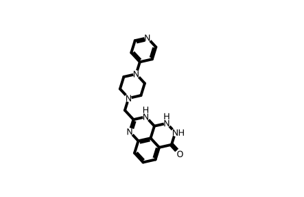 O=C1NNC2NC(CN3CCN(c4ccncc4)CC3)=Nc3cccc1c32